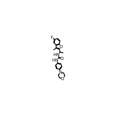 Cc1c(C(C)NC(=O)Nc2ccc(N3CCOCC3)cc2)oc2ccc(F)cc12